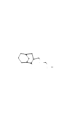 COCOCC1CC2CCCC(C2)C1=O